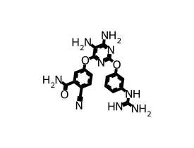 N#Cc1ccc(Oc2nc(Oc3cccc(NC(=N)N)c3)nc(N)c2N)cc1C(N)=O